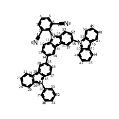 N#Cc1cccc(C#N)c1-n1c2ccc(-c3ccc4c(c3)c3ccccc3n4-c3ccccc3)cc2c2cc(-n3c4ccccc4c4ccccc43)ccc21